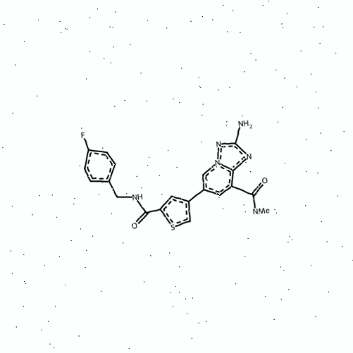 CNC(=O)c1cc(-c2csc(C(=O)NCc3ccc(F)cc3)c2)cn2nc(N)nc12